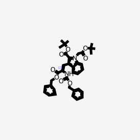 CC(C)(C)OC(=O)Cn1c(C(=O)OC(C)(C)C)c(/C=C(\NC(=O)OCc2ccccc2)C(=O)OCc2ccccc2)c2ccccc21